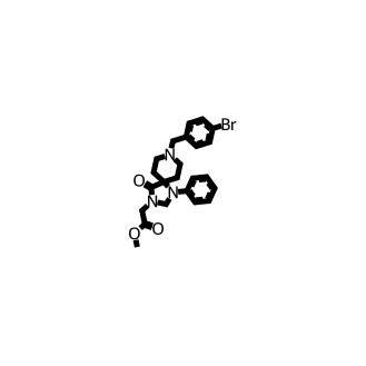 COC(=O)CN1CN(c2ccccc2)C2(CCN(Cc3ccc(Br)cc3)CC2)C1=O